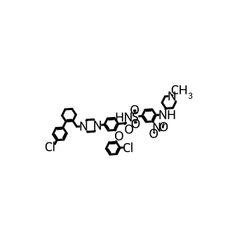 CN1CCC(Nc2ccc(S(=O)(=O)NC(=O)c3ccc(N4CCN(CC5=C(c6ccc(Cl)cc6)CCCC5)CC4)cc3Oc3ccccc3Cl)cc2[N+](=O)[O-])CC1